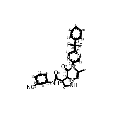 CC1=CN2NCC(C(=O)Nc3cccc(C#N)c3)C2C(=O)N1c1cnc(C(F)(F)c2ccccc2)cn1